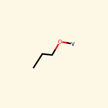 CCC[O][V]